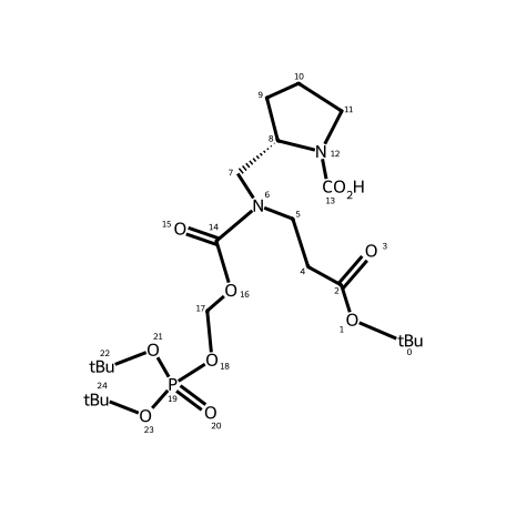 CC(C)(C)OC(=O)CCN(C[C@@H]1CCCN1C(=O)O)C(=O)OCOP(=O)(OC(C)(C)C)OC(C)(C)C